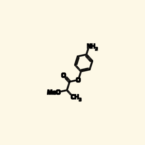 COC(C)C(=O)Oc1ccc(N)cc1